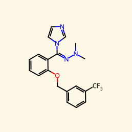 CN(C)N=C(c1ccccc1OCc1cccc(C(F)(F)F)c1)n1ccnc1